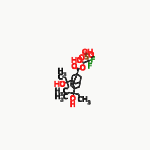 CCC(O)(CC)C12CC3CC(C(=O)OC(O)C(F)(F)S(=O)(=O)O)(C1)CC(C(O)(CC)CC)(C3)C2